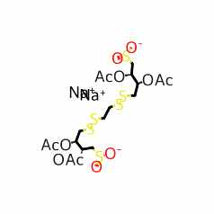 CC(=O)O[C@@H](CSSCCSSC[C@H](OC(C)=O)[C@H](CS(=O)[O-])OC(C)=O)[C@H](CS(=O)[O-])OC(C)=O.[Na+].[Na+]